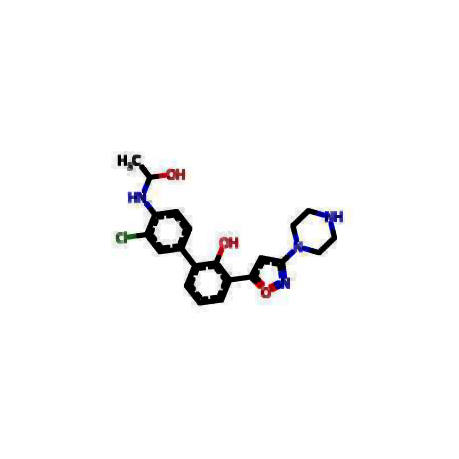 CC(O)Nc1ccc(-c2cccc(-c3cc(N4CCNCC4)no3)c2O)cc1Cl